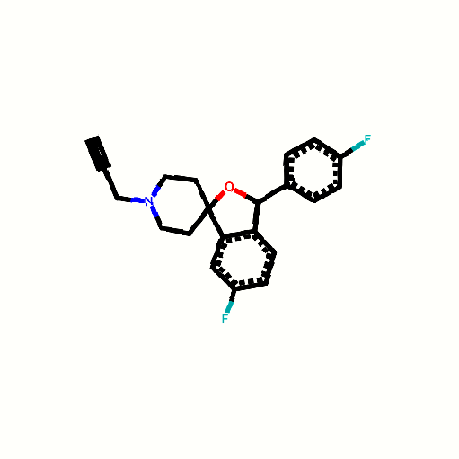 C#CCN1CCC2(CC1)OC(c1ccc(F)cc1)c1ccc(F)cc12